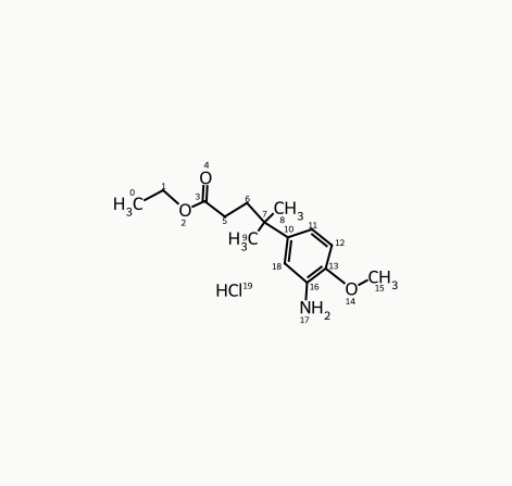 CCOC(=O)CCC(C)(C)c1ccc(OC)c(N)c1.Cl